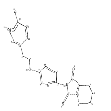 O=C1C2=C(CCCC2)C(=O)N1c1ccc(OCCc2ccc(Cl)nc2)cc1